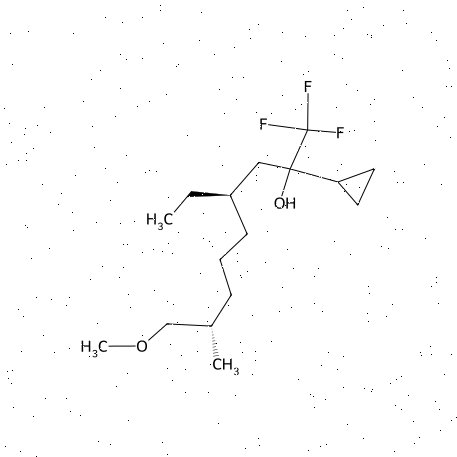 CC[C@H](CCC[C@H](C)COC)CC(O)(C1CC1)C(F)(F)F